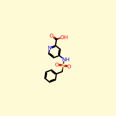 O=C(O)c1cc(NS(=O)(=O)Cc2ccccc2)ccn1